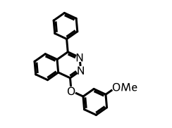 COc1cccc(Oc2nnc(-c3ccccc3)c3ccccc23)c1